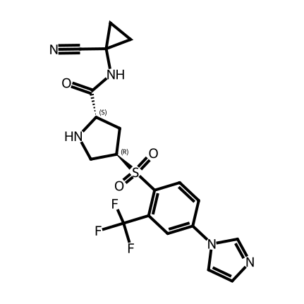 N#CC1(NC(=O)[C@@H]2C[C@@H](S(=O)(=O)c3ccc(-n4ccnc4)cc3C(F)(F)F)CN2)CC1